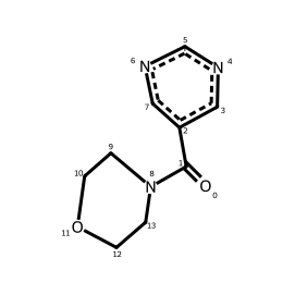 O=C(c1cn[c]nc1)N1CCOCC1